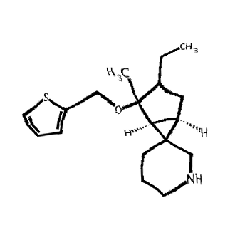 CCC1C[C@@H]2[C@H](C1(C)OCc1cccs1)C21CCCNC1